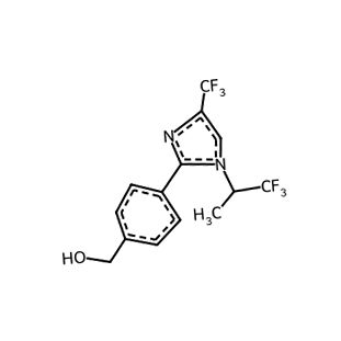 CC(n1cc(C(F)(F)F)nc1-c1ccc(CO)cc1)C(F)(F)F